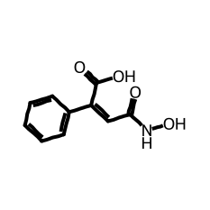 O=C(C=C(C(=O)O)c1ccccc1)NO